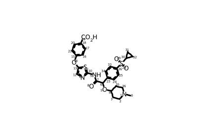 CN1CCC(OC(C(=O)Nc2ncc(Oc3ccc(C(=O)O)cc3)s2)c2ccc(S(=O)(=O)C3CC3)cc2)CC1